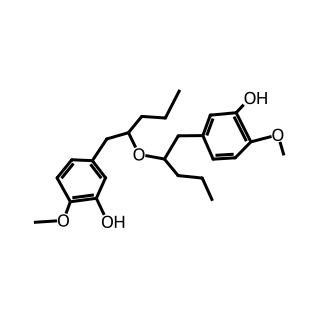 CCCC(Cc1ccc(OC)c(O)c1)OC(CCC)Cc1ccc(OC)c(O)c1